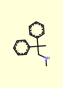 CNCC(C)(c1ccccc1)c1ccccc1